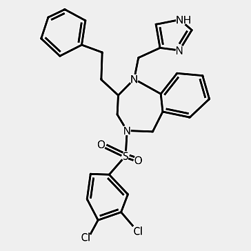 O=S(=O)(c1ccc(Cl)c(Cl)c1)N1Cc2ccccc2N(Cc2c[nH]cn2)C(CCc2ccccc2)C1